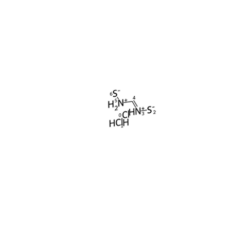 Cl.Cl.[S-]/[NH+]=C/[NH2+][S-]